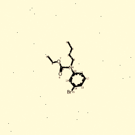 CCCCN(C(=O)OCC)c1cccc(Br)c1